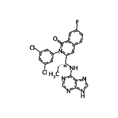 CC[C@@H](Nc1ncnc2[nH]cnc12)c1cc2ccc(F)cc2c(=O)n1-c1cc(Cl)cc(Cl)c1